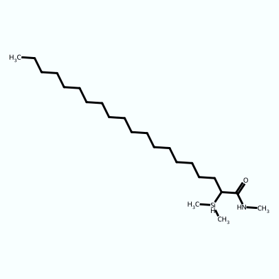 CCCCCCCCCCCCCCCCCCC(C(=O)NC)[SiH](C)C